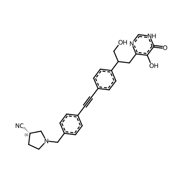 N#C[C@H]1CCN(Cc2ccc(C#Cc3ccc(C(CO)Cc4nc[nH]c(=O)c4O)cc3)cc2)C1